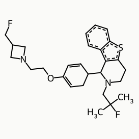 CC(C)(F)CN1CCc2sc3ccccc3c2C1C1C=CC(OCCN2CC(CF)C2)=CC1